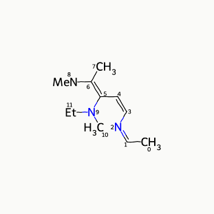 C\C=N/C=C\C(=C(/C)NC)N(C)CC